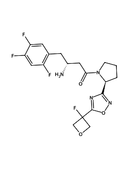 N[C@@H](CC(=O)N1CCC[C@H]1c1noc(C2(F)COC2)n1)Cc1cc(F)c(F)cc1F